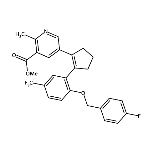 COC(=O)c1cc(C2=C(c3cc(C(F)(F)F)ccc3OCc3ccc(F)cc3)CCC2)cnc1C